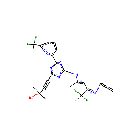 C=C=C/N=C(\C=C(/C)Nc1nc(C#CC(C)(C)O)nc(-c2cccc(C(F)(F)F)n2)n1)C(F)(F)F